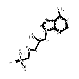 Nc1ncnc2c1ncn2CC(O)COCP(=O)(O)O